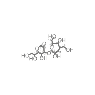 OCC(O)C1OC2OC2C(O[C@@H]2OC(CO)[C@@H](O)C(CO)C=C2O)C1O